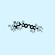 C=C/C(=C\C=C(/C=C)C(C)(C)C)N1C(=C)c2ccc(Cc3ccc4c(c3)C(=O)N(C(C)C)C4=C)cc2C1=O